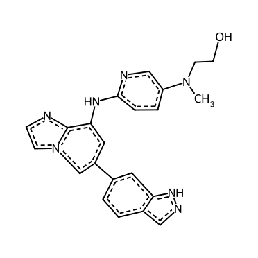 CN(CCO)c1ccc(Nc2cc(-c3ccc4cn[nH]c4c3)cn3ccnc23)nc1